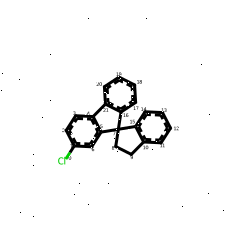 Clc1ccc2c(c1)C1(CCc3ccccc31)c1ccccc1-2